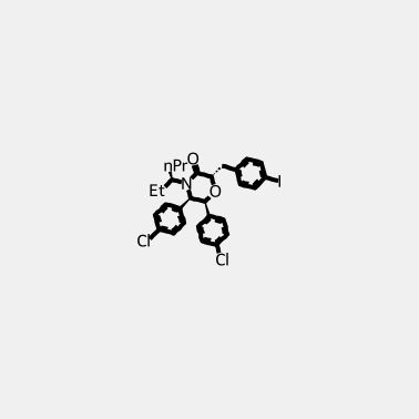 CCC[C@H](CC)N1C(=O)[C@H](Cc2ccc(I)cc2)O[C@@H](c2ccc(Cl)cc2)[C@H]1c1ccc(Cl)cc1